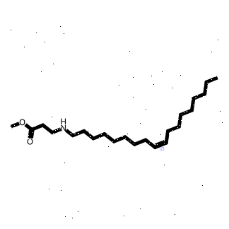 CCCCCCCC/C=C\CCCCCCCCNCCC(=O)OC